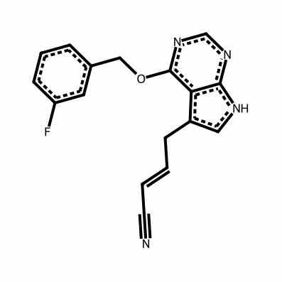 N#C/C=C/Cc1c[nH]c2ncnc(OCc3cccc(F)c3)c12